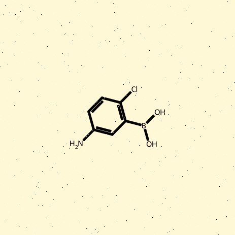 Nc1ccc(Cl)c(B(O)O)c1